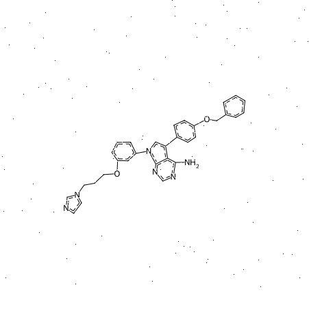 Nc1ncnc2c1c(-c1ccc(OCc3ccccc3)cc1)cn2-c1cccc(OCCCn2ccnc2)c1